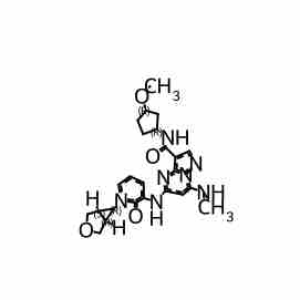 CNc1cc(Nc2cccn([C@H]3[C@@H]4COC[C@@H]43)c2=O)nc2c(C(=O)N[C@@H]3CC[C@@H](OC)C3)cnn12